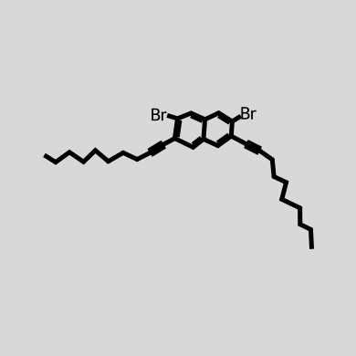 CCCCCCCCC#Cc1cc2cc(C#CCCCCCCCC)c(Br)cc2cc1Br